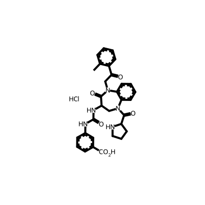 Cc1ccccc1C(=O)CN1C(=O)C(NC(=O)Nc2cccc(C(=O)O)c2)CN(C(=O)C2CCCN2)c2ccccc21.Cl